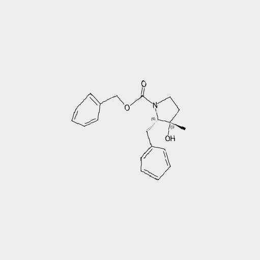 C[C@]1(O)CCN(C(=O)OCc2ccccc2)[C@H]1Cc1ccccc1